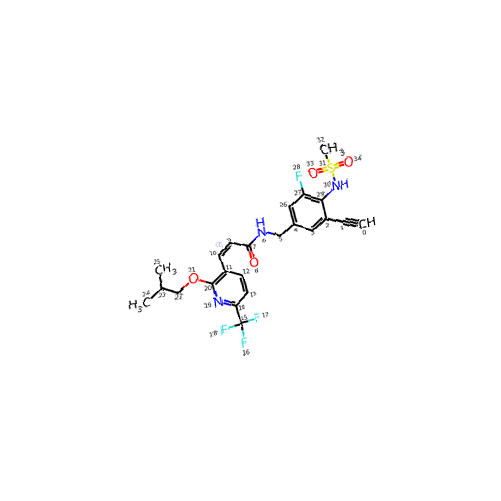 C#Cc1cc(CNC(=O)/C=C\c2ccc(C(F)(F)F)nc2OCC(C)C)cc(F)c1NS(C)(=O)=O